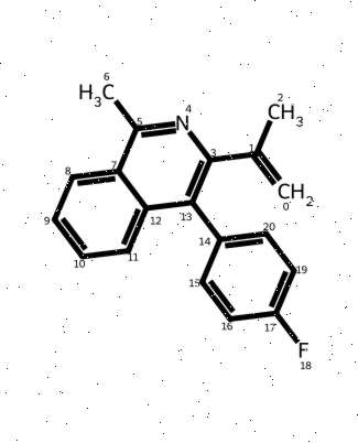 C=C(C)c1nc(C)c2ccccc2c1-c1ccc(F)cc1